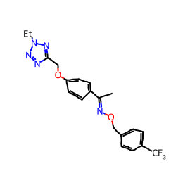 CCn1nnc(COc2ccc(/C(C)=N/OCc3ccc(C(F)(F)F)cc3)cc2)n1